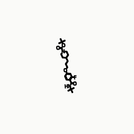 CC(C)(C)NC(=O)c1ccc(OCCCC2CCN(C(=O)OC(C)(C)C)CC2)cc1F